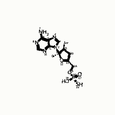 C[C@@]1(n2cnc3c(N)ncnc32)O[C@H](COP(=O)(O)S)C[C@@H]1I